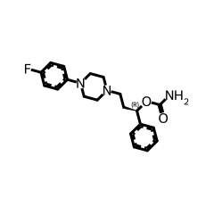 NC(=O)O[C@H](CCN1CCN(c2ccc(F)cc2)CC1)c1ccccc1